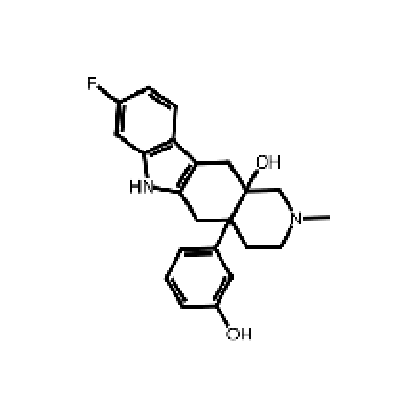 CN1CCC2(c3cccc(O)c3)Cc3[nH]c4cc(F)ccc4c3CC2(O)C1